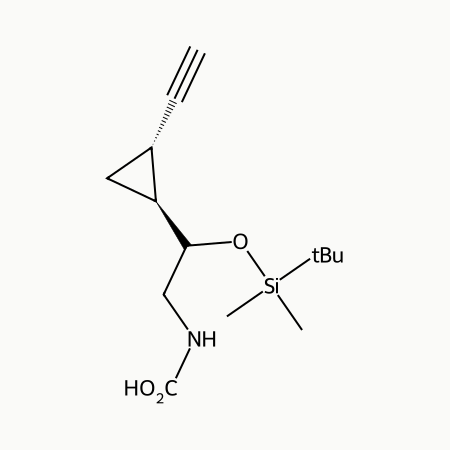 C#C[C@H]1C[C@@H]1C(CNC(=O)O)O[Si](C)(C)C(C)(C)C